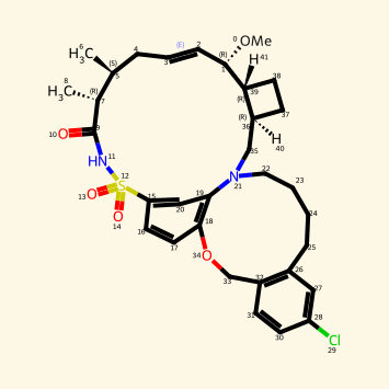 CO[C@H]1/C=C/C[C@H](C)[C@@H](C)C(=O)NS(=O)(=O)c2ccc3c(c2)N(CCCCc2cc(Cl)ccc2CO3)C[C@@H]2CC[C@H]21